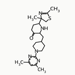 CC1=NC(C)(C2CCC(=O)C(CC3CCN(c4nc(C)cc(C)n4)CC3)N2)CS1